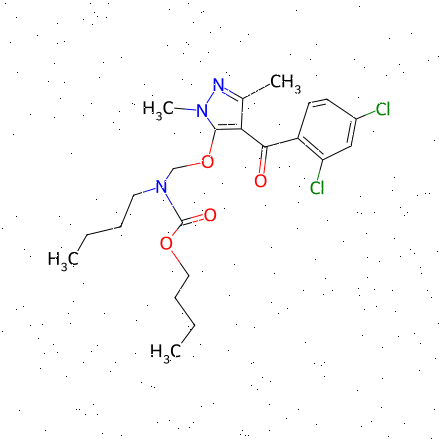 CCCCOC(=O)N(CCCC)COc1c(C(=O)c2ccc(Cl)cc2Cl)c(C)nn1C